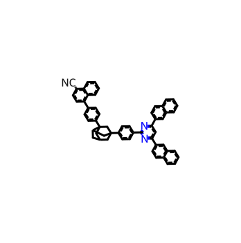 N#Cc1ccc(-c2ccc(C34CC5CC3CC(c3ccc(-c6nc(-c7ccc8ccccc8c7)cc(-c7ccc8ccccc8c7)n6)cc3)(C5)C4)cc2)c2ccccc12